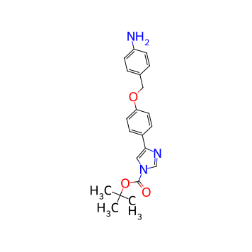 CC(C)(C)OC(=O)n1cnc(-c2ccc(OCc3ccc(N)cc3)cc2)c1